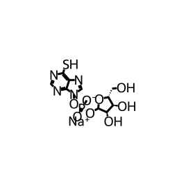 O=P([O-])(OC1O[C@H](CO)[C@@H](O)[C@H]1O)On1cnc2c(S)ncnc21.[Na+]